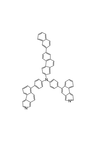 c1ccc2cc(-c3ccc4c(ccc5cc(N(c6ccc(-c7cccc8c7ccc7cnccc78)cc6)c6ccc(-c7cc8cnccc8c8ccccc78)cc6)ccc54)c3)ccc2c1